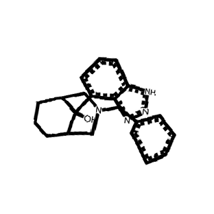 OC1(c2cccc3[nH]nnc23)C2CCCC1CN(Cc1ccccc1)C2